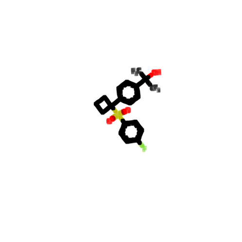 O=S(=O)(c1ccc(F)cc1)C1(c2ccc(C(O)(C(F)(F)F)C(F)(F)F)cc2)CCC1